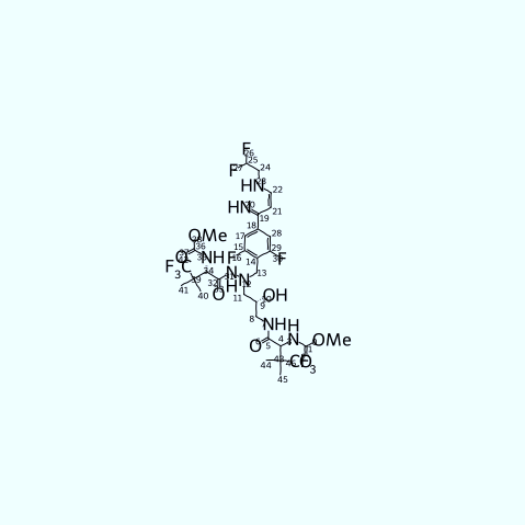 COC(=O)NC(C(=O)NC[C@@H](O)CN(Cc1c(F)cc(C(=N)/C=C\NCC(F)F)cc1F)NC(=O)[C@@H](NC(=O)OC)C(C)(C)C(F)(F)F)C(C)(C)C(F)(F)F